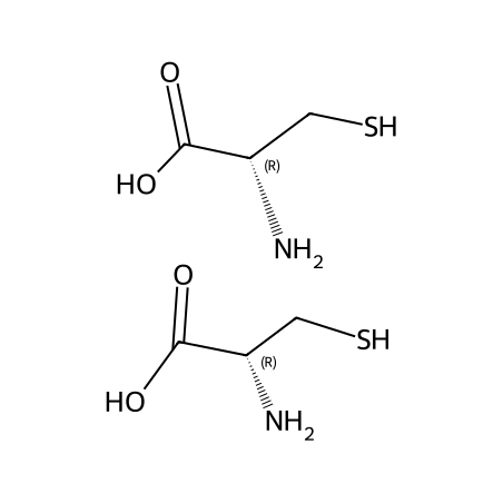 N[C@@H](CS)C(=O)O.N[C@@H](CS)C(=O)O